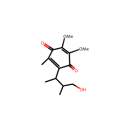 COC1=C(OC)C(=O)C(C(C)C(C)CO)=C(C)C1=O